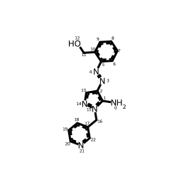 Nc1c(/N=N/c2ccccc2CO)cnn1Cc1cccnc1